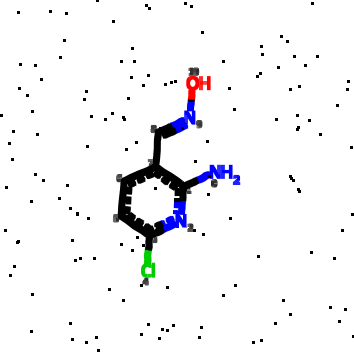 Nc1nc(Cl)ccc1C=NO